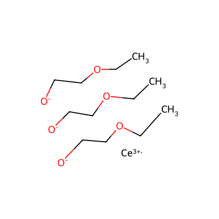 CCOCC[O-].CCOCC[O-].CCOCC[O-].[Ce+3]